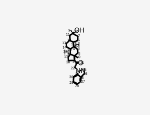 CC12CC[C@@H]3C4CC[C@@](C)(O)CC4CCC3[C@@H]1CCC2C(=O)Cn1ncc2ccccc21